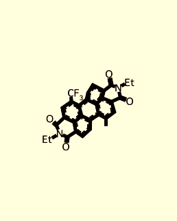 CCN1C(=O)c2ccc3c4c(C(F)(F)F)cc5c6c(ccc(c7c(C)cc(c2c37)C1=O)c64)C(=O)N(CC)C5=O